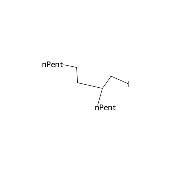 CCCCCCCC(CI)CCCCC